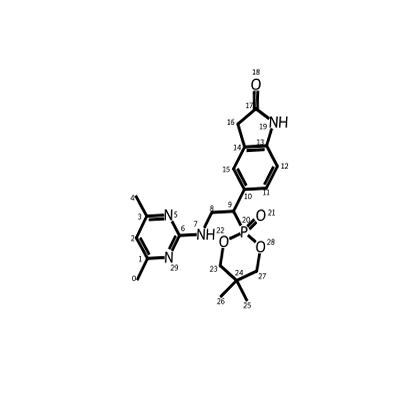 Cc1cc(C)nc(NCC(c2ccc3c(c2)CC(=O)N3)P2(=O)OCC(C)(C)CO2)n1